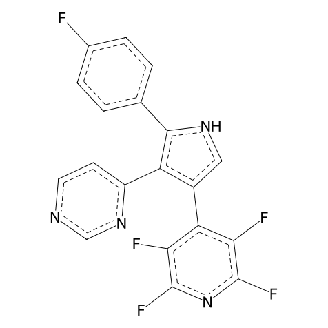 Fc1ccc(-c2[nH]cc(-c3c(F)c(F)nc(F)c3F)c2-c2ccncn2)cc1